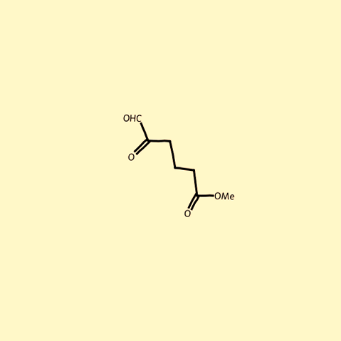 COC(=O)CCCC(=O)C=O